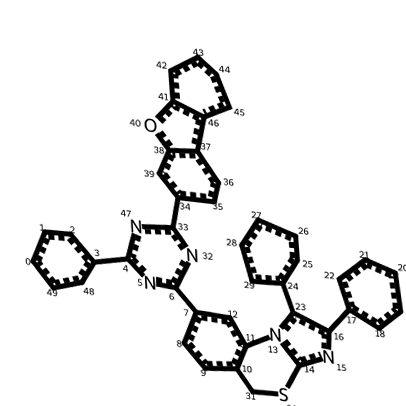 c1ccc(-c2nc(-c3ccc4c(c3)-n3c(nc(-c5ccccc5)c3-c3ccccc3)SC4)nc(-c3ccc4c(c3)oc3ccccc34)n2)cc1